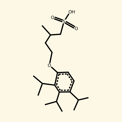 CC(CCOc1ccc(C(C)C)c(C(C)C)c1C(C)C)CS(=O)(=O)O